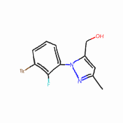 Cc1cc(CO)n(-c2cccc(Br)c2F)n1